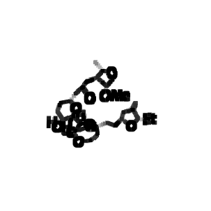 C=C1C[C@H](CC[C@]23CCOC4C(CO2)O[C@H]2CC[C@H](CC(=O)C[C@H]5[C@H](C)OC[C@@H]5OC)O[C@@H]2[C@@H]4O3)O[C@H]1CC